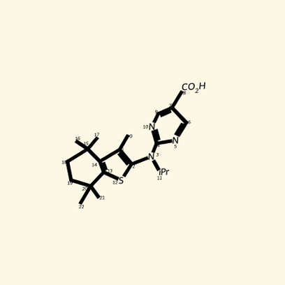 Cc1c(N(c2ncc(C(=O)O)cn2)C(C)C)sc2c1C(C)(C)CCC2(C)C